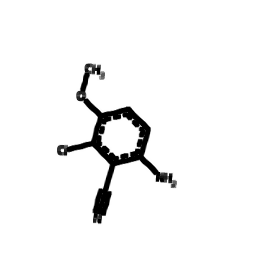 COc1ccc(N)c(C#N)c1Cl